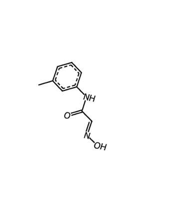 Cc1cccc(NC(=O)C=NO)c1